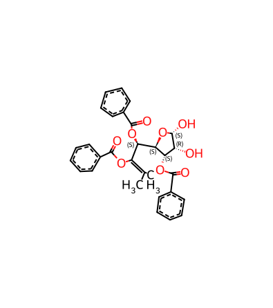 CC(C)=C(OC(=O)c1ccccc1)[C@@H](OC(=O)c1ccccc1)[C@H]1O[C@H](O)[C@H](O)[C@@H]1OC(=O)c1ccccc1